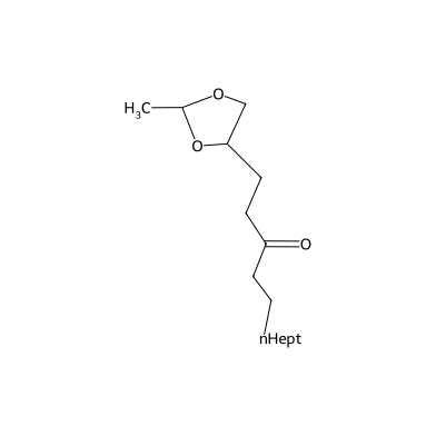 CCCCCCCCCC(=O)CCC1COC(C)O1